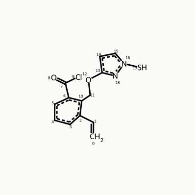 C=Cc1cccc(C(=O)Cl)c1COc1ccn(S)n1